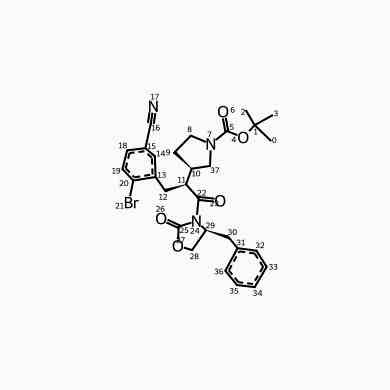 CC(C)(C)OC(=O)N1CC[C@H]([C@H](Cc2cc(C#N)ccc2Br)C(=O)N2C(=O)OC[C@@H]2Cc2ccccc2)C1